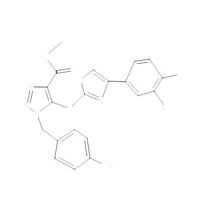 COc1ccc(Cn2nnc(C(=O)OC(C)C)c2Sc2nc(-c3ccc(Cl)c(Cl)c3)cs2)cc1